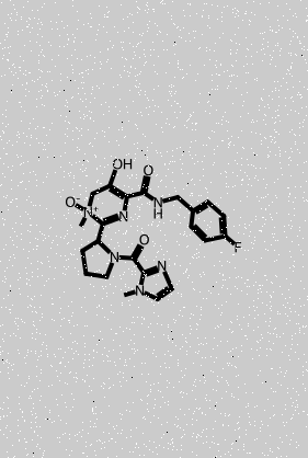 Cn1ccnc1C(=O)N1CCCC1C1=NC(C(=O)NCc2ccc(F)cc2)=C(O)C[N+]1(C)[O-]